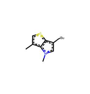 CCC(C)c1cn(C)c2c(C)csc12